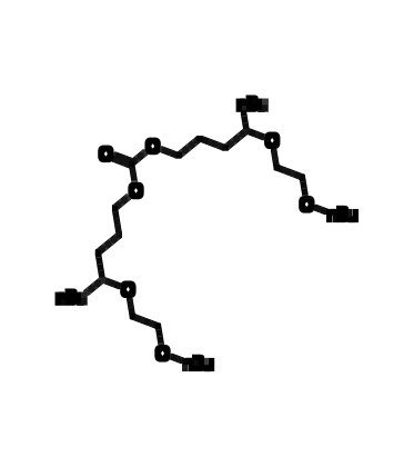 CCCCOCCOC(CCCC)CCCOC(=O)OCCCC(CCCC)OCCOCCCC